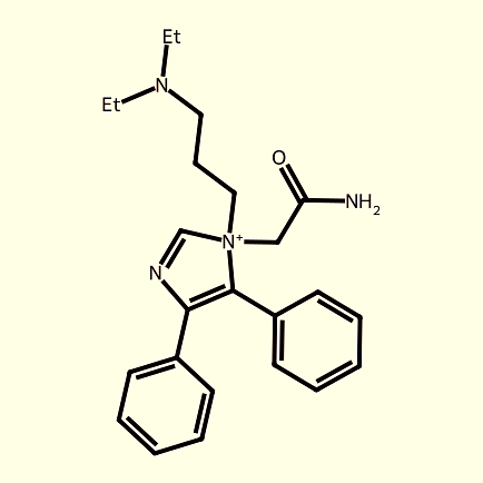 CCN(CC)CCC[N+]1(CC(N)=O)C=NC(c2ccccc2)=C1c1ccccc1